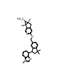 Cn1cnc2c(C3CC(C)(C)c4ccc(COc5cc6c(cn5)[C@H]5[C@@H](C6)[C@@H]5C(=O)O)cc43)cccc21